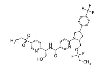 CCC(F)(F)OC[C@@H]1CC(c2ccc(C(F)(F)F)cc2)CN1c1ccc(C(=O)N[C@@H](CO)c2ccc(S(=O)(=O)CC)cn2)cn1